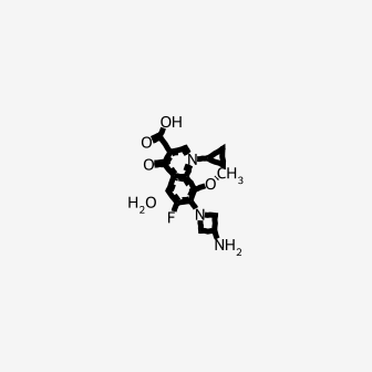 COc1c(N2CC(N)C2)c(F)cc2c(=O)c(C(=O)O)cn(C3CC3)c12.O